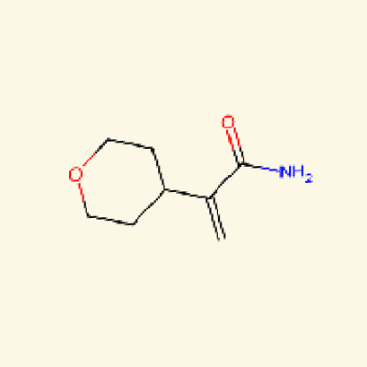 C=C(C(N)=O)C1CCOCC1